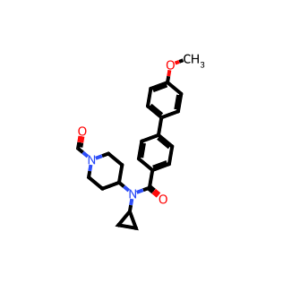 COc1ccc(-c2ccc(C(=O)N(C3CC3)C3CCN(C=O)CC3)cc2)cc1